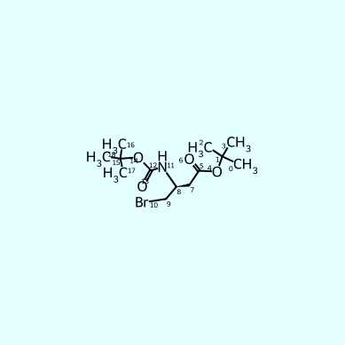 CC(C)(C)OC(=O)C[C@@H](CBr)NC(=O)OC(C)(C)C